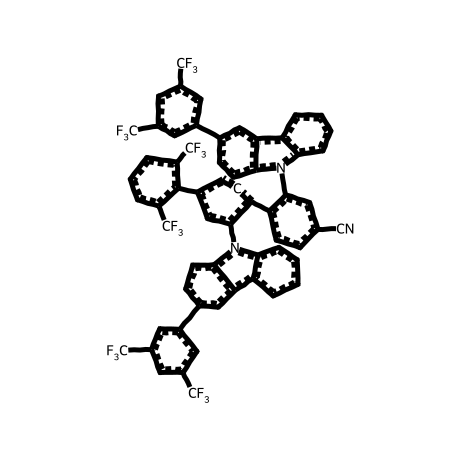 N#Cc1ccc(-c2ccc(-c3c(C(F)(F)F)cccc3C(F)(F)F)cc2-n2c3ccccc3c3cc(-c4cc(C(F)(F)F)cc(C(F)(F)F)c4)ccc32)c(-n2c3ccccc3c3cc(-c4cc(C(F)(F)F)cc(C(F)(F)F)c4)ccc32)c1